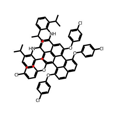 CC(C)c1cccc(C(C)C)c1NC(=O)c1cc(Oc2ccc(Cl)cc2)c2c3c(Oc4ccc(Cl)cc4)ccc4ccc(Oc5ccc(Cl)cc5)c(c5c(Oc6ccc(Cl)cc6)cc(C(=O)Nc6c(C(C)C)cccc6C(C)C)c1c25)c43